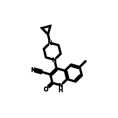 Cc1ccc2[nH]c(=O)c(C#N)c(N3CCN(C4CC4)CC3)c2c1